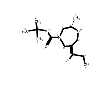 C[C@H]1CN(C(=O)OC(C)(C)C)C/C(=C(\F)CO)CO1